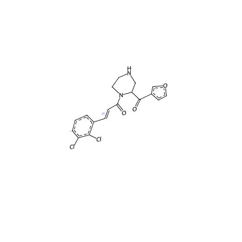 O=C(c1ccoc1)C1CNCCN1C(=O)/C=C/c1cc[c]c(Cl)c1Cl